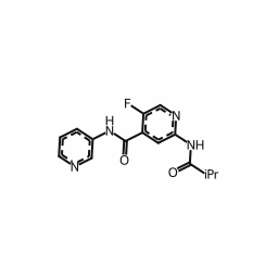 CC(C)C(=O)Nc1cc(C(=O)Nc2cccnc2)c(F)cn1